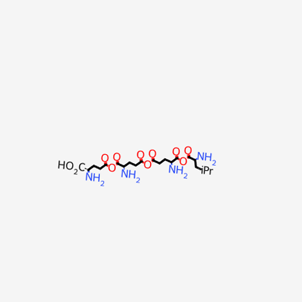 CC(C)C[C@H](N)C(=O)OC(=O)[C@@H](N)CCC(=O)OC(=O)CC[C@H](N)C(=O)OC(=O)CC[C@H](N)C(=O)O